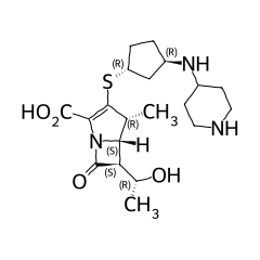 C[C@@H](O)[C@H]1C(=O)N2C(C(=O)O)=C(S[C@@H]3CC[C@@H](NC4CCNCC4)C3)[C@H](C)[C@H]12